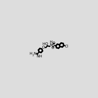 N=C(N)c1ccc(OCC(O)CNS(=O)(=O)c2ccc3cc(Cl)ccc3c2)cc1